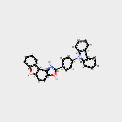 c1ccc2c(c1)oc1ccc3oc(-c4ccc(-n5c6ccccc6c6ccccc65)cc4)nc3c12